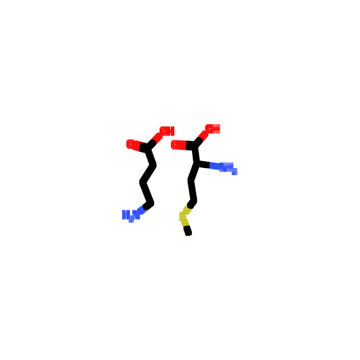 CSCCC(N)C(=O)O.NCCCC(=O)O